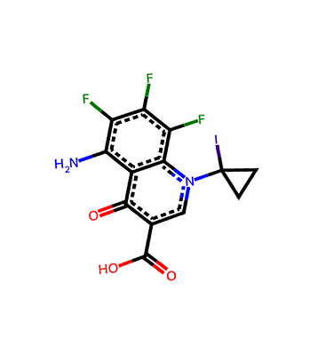 Nc1c(F)c(F)c(F)c2c1c(=O)c(C(=O)O)cn2C1(I)CC1